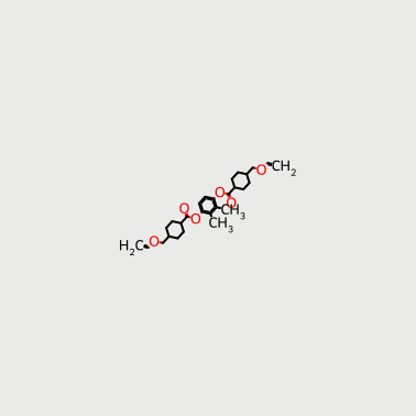 C=COCC1CCC(C(=O)Oc2ccc(OC(=O)C3CCC(COC=C)CC3)c(C)c2C)CC1